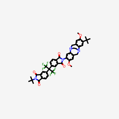 COc1cc2c(cc1N1C(=O)c3ccc(C(c4ccc5c(c4)C(=O)N(C(C)(C)C)C5=O)(C(F)(F)F)C(F)(F)F)cc3C1=O)N1CCN(C2)c2cc(C(C)(C)C)c(OC)cc2C1